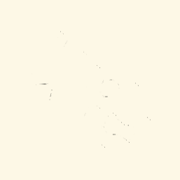 CCNc1nc(N(C(=O)OCOC(=O)C=CC(=O)O)c2cc(C#N)cc(N3CCN([C@@H](C)C(N)=O)CC3)c2Cl)nn2c(C#N)cnc12